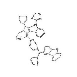 c1ccc(N(c2ccc(-c3cccc4c3c3c5ccccc5n(-c5ccccc5)c3n4-c3ccccc3)cc2)c2ccc3oc4ccccc4c3c2)cc1